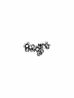 CS(=O)(=O)c1cc(NC(=O)Cc2ccccc2Cl)cc2nn(CC3CCOC3)cc12